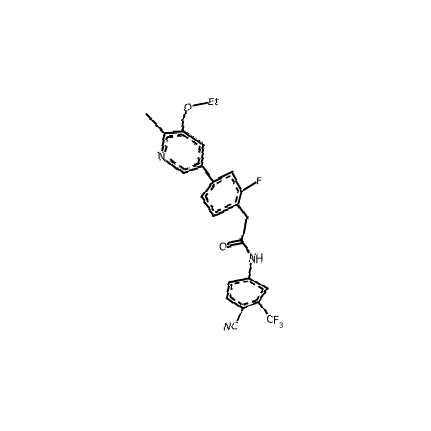 CCOc1cc(-c2ccc(CC(=O)Nc3ccc(C#N)c(C(F)(F)F)c3)c(F)c2)cnc1C